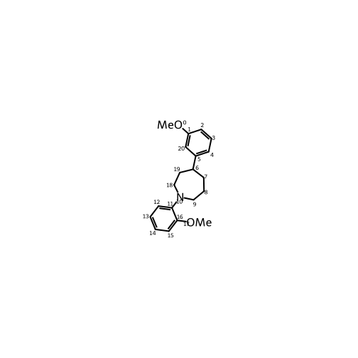 COc1cccc(C2CCCN(c3ccccc3OC)CC2)c1